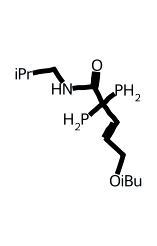 CC(C)CNC(=O)C(P)(P)/C=C/COCC(C)C